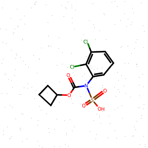 O=C(OC1CCC1)N(c1cccc(Cl)c1Cl)S(=O)(=O)O